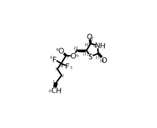 C#CCCC(F)(F)C(=O)OC=C1SC(=O)NC1=O